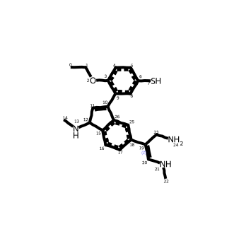 CCOc1ccc(S)cc1C1=CC(NC)c2ccc(/C(=C/NC)CN)cc21